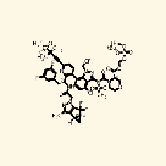 CC(C)(C)OP(=O)(OCOC(=O)[C@@H]1COCCN1C(=O)N(c1nn(CC(F)(F)F)c2c(-c3ccc(C#CC(C)(C)S(C)(=O)=O)nc3[C@H](Cc3cc(F)cc(F)c3)NC(=O)Cn3nc(C(F)(F)F)c4c3C(F)(F)[C@@H]3C[C@H]43)ccc(Cl)c12)S(C)(=O)=O)OC(C)(C)C